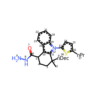 CCCCCCCCCCC1(C)CCC(C(=O)NN)c2c1n(-c1ccc(CCC)s1)c1ccccc21